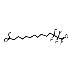 O=C(F)CCCCCCCCCCC(F)(F)C(F)(F)C(=O)F